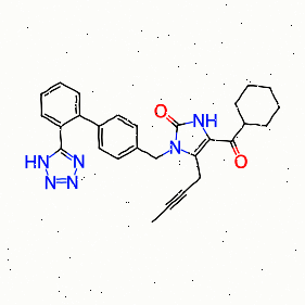 CC#CCc1c(C(=O)C2CCCCC2)[nH]c(=O)n1Cc1ccc(-c2ccccc2-c2nnn[nH]2)cc1